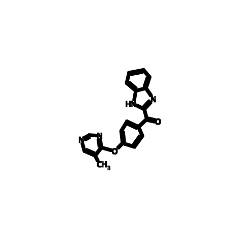 Cc1cncnc1Oc1ccc(C(=O)c2nc3ccccc3[nH]2)cc1